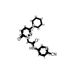 N#Cc1ccc(NC(=O)Cn2nc(N3CCCCC3)ccc2=O)cn1